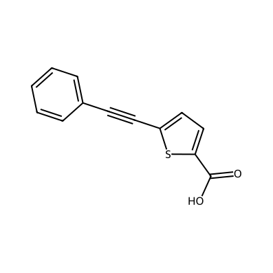 O=C(O)c1ccc(C#Cc2ccccc2)s1